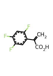 C=C(C(=O)O)c1cc(F)c(F)cc1F